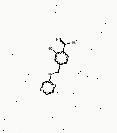 N=C(N)c1ccc(CNc2cnccn2)cc1O